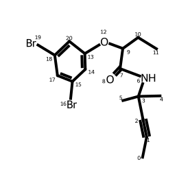 CC#CC(C)(C)NC(=O)C(CC)Oc1cc(Br)cc(Br)c1